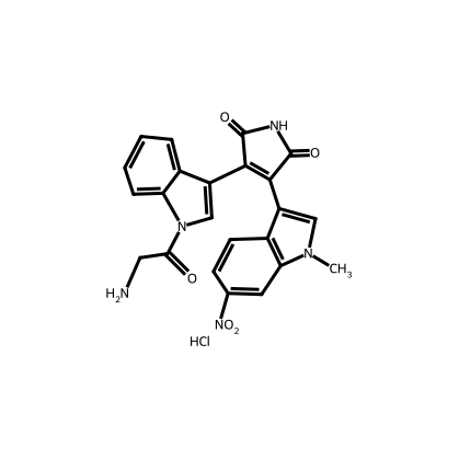 Cl.Cn1cc(C2=C(c3cn(C(=O)CN)c4ccccc34)C(=O)NC2=O)c2ccc([N+](=O)[O-])cc21